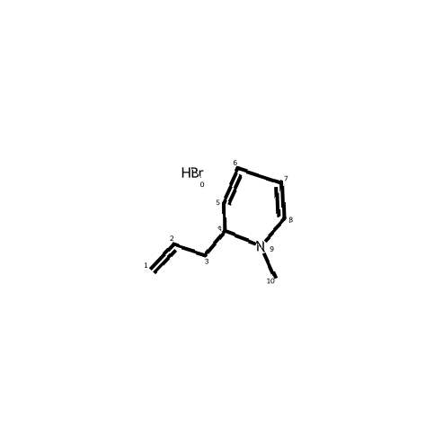 Br.C=CCC1C=CC=CN1C